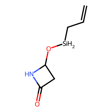 C=CC[SiH2]OC1CC(=O)N1